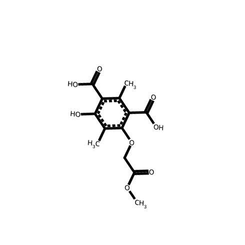 COC(=O)COc1c(C)c(O)c(C(=O)O)c(C)c1C(=O)O